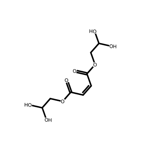 O=C(/C=C\C(=O)OCC(O)O)OCC(O)O